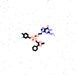 C=C1OC(COP(=O)(COCCn2cnc3c(=O)[nH]c(N)nc32)OCc2ccc(C)c(F)c2)=C(C2CCCCC2)O1